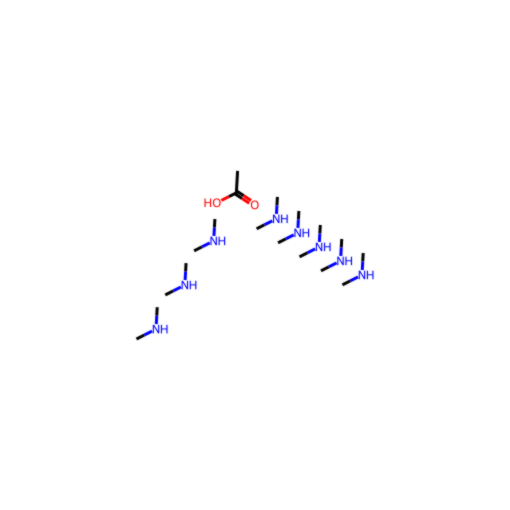 CC(=O)O.CNC.CNC.CNC.CNC.CNC.CNC.CNC.CNC